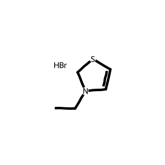 Br.CCN1C=CSC1